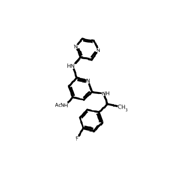 CC(=O)Nc1cc(Nc2cnccn2)nc(NC(C)c2ccc(F)cc2)c1